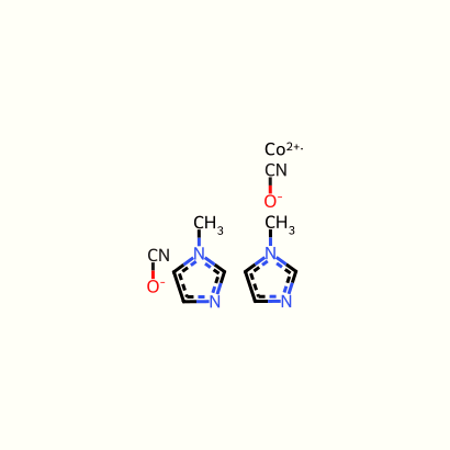 Cn1ccnc1.Cn1ccnc1.N#C[O-].N#C[O-].[Co+2]